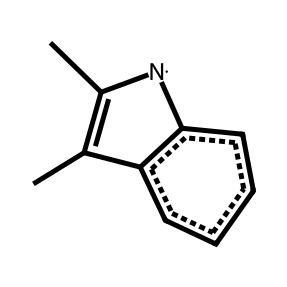 CC1=C(C)c2ccccc2[N]1